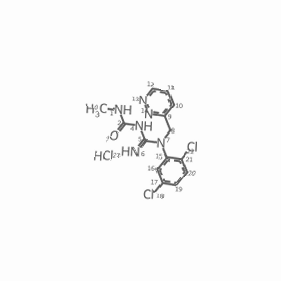 CNC(=O)NC(=N)N(Cc1cccnn1)c1cc(Cl)ccc1Cl.Cl